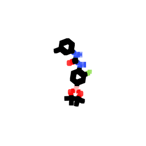 Cc1cccc(NC(=O)Nc2ccc(B3OC(C)(C)C(C)(C)O3)cc2F)c1